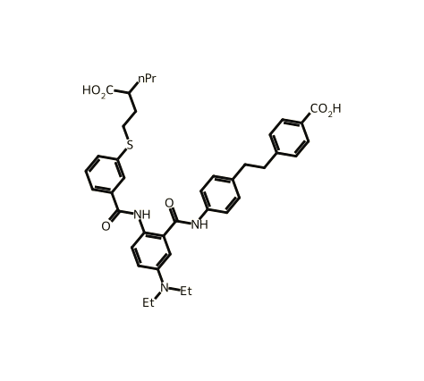 CCCC(CCSc1cccc(C(=O)Nc2ccc(N(CC)CC)cc2C(=O)Nc2ccc(CCc3ccc(C(=O)O)cc3)cc2)c1)C(=O)O